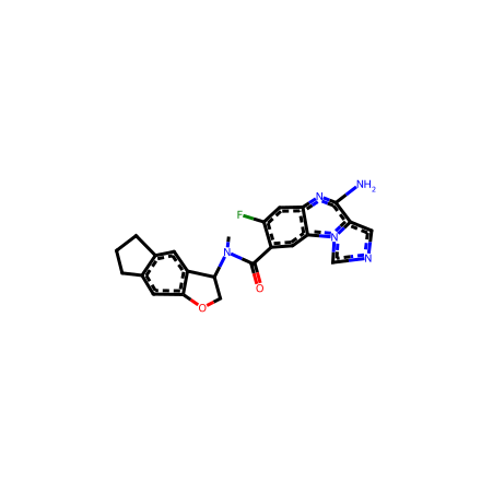 CN(C(=O)c1cc2c(cc1F)nc(N)c1cncn12)C1COc2cc3c(cc21)CCC3